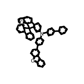 c1ccc(-c2ccc(N(c3ccc(-c4ccc5oc6ccccc6c5c4)cc3)c3ccc4c(c3)C3(c5ccccc5-c5ccccc53)c3c-4ccc4ccccc34)cc2)cc1